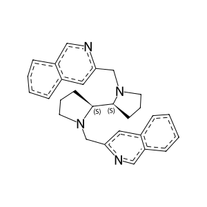 c1ccc2cc(CN3CCC[C@H]3[C@@H]3CCCN3Cc3cc4ccccc4cn3)ncc2c1